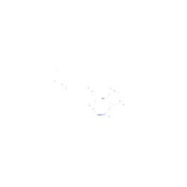 CCn1c(C2CC2)nc2c(NC3CCN(C4(C=O)CC4)C3)ncnc21